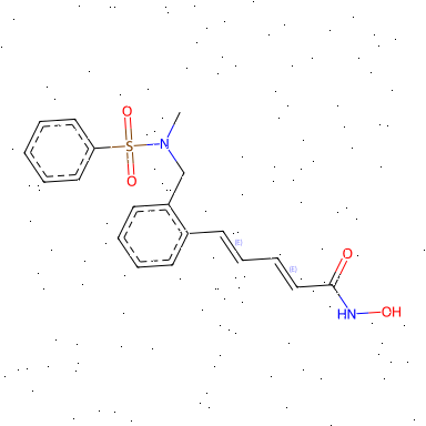 CN(Cc1ccccc1/C=C/C=C/C(=O)NO)S(=O)(=O)c1ccccc1